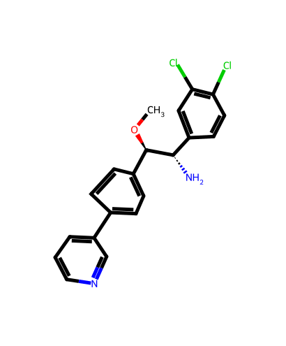 CO[C@H](c1ccc(-c2cccnc2)cc1)[C@@H](N)c1ccc(Cl)c(Cl)c1